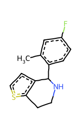 Cc1cc(F)ccc1C1NCCc2sccc21